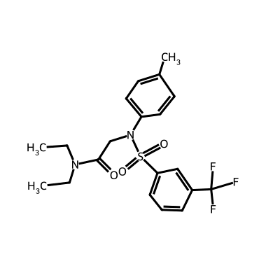 CCN(CC)C(=O)CN(c1ccc(C)cc1)S(=O)(=O)c1cccc(C(F)(F)F)c1